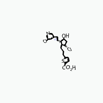 O=C(O)c1ccc(CCCC2[C@@H](/C=C/c3cncc(Cl)c3)C(O)C[C@H]2Cl)s1